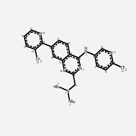 CCCCN(CCCC)Cc1nc(Nc2ccc(C(F)(F)F)nc2)c2ccc(-c3ncccc3C(F)(F)F)cc2n1